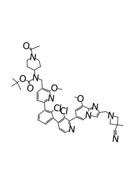 COc1nc(-c2cccc(-c3ccnc(-c4cc(OC)c5nc(CN6CC(C)(C#N)C6)cn5c4)c3Cl)c2Cl)ccc1CN(C(=O)OC(C)(C)C)C1CCN(C(C)=O)CC1